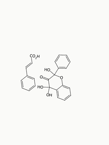 O=C(O)C=Cc1ccccc1.O=C1C(O)(O)c2ccccc2OC1(O)c1ccccc1